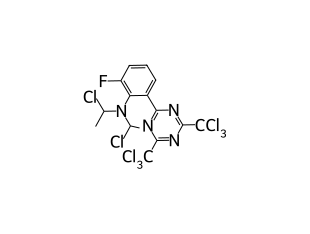 CC(Cl)N(c1c(F)cccc1-c1nc(C(Cl)(Cl)Cl)nc(C(Cl)(Cl)Cl)n1)C(C)Cl